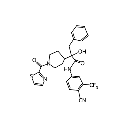 N#Cc1ccc(NC(=O)C(O)(Cc2ccccc2)C2CCN(C(=O)c3nccs3)CC2)cc1C(F)(F)F